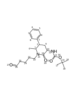 CC1C(c2ccccc2)CC(NC(=O)OC(C)(C)C)C(=O)N1CCCCC=O